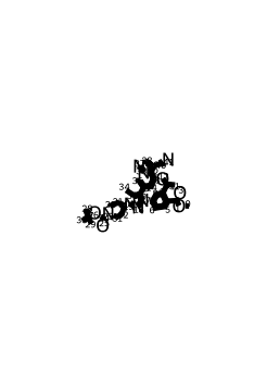 COC(=O)c1ccccc1C(C)Oc1cc(-c2nnn(C3CCN(C(=O)OC(C)(C)C)CC3)c2C)cn2ncc(C#N)c12